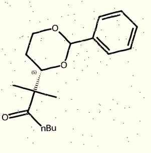 CCCCC(=O)C(C)(C)[C@@H]1CCOC(c2ccccc2)O1